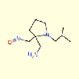 CC(C)CN1CCCC1(CN)CN=O